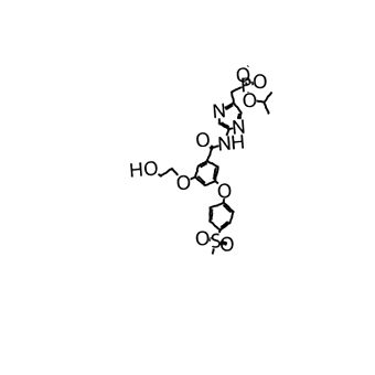 COP(=O)(Cc1cnc(NC(=O)c2cc(OCCO)cc(Oc3ccc(S(C)(=O)=O)cc3)c2)cn1)OC(C)C